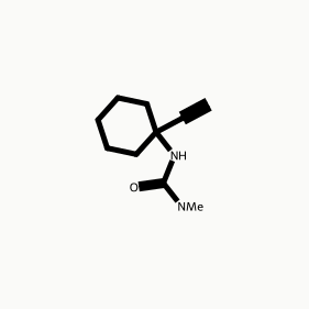 C#CC1(NC(=O)NC)CCCCC1